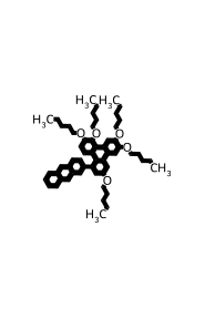 CCCCCOc1cc(-c2ccc3cc4ccccc4cc3c2)c2c(c1)c1cc(OCCCCC)c(OCCCCC)cc1c1c(OCCCCC)c(OCCCCC)ccc21